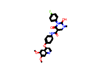 COc1cc2nccc(Oc3ccc(NC(=O)C4=CN(C)C(O)N(c5ccc(F)cc5)C4=O)cc3)c2cc1OC